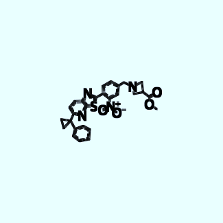 COC(=O)C1CN(Cc2ccc(-c3nc4ccc(C5(c6ccccc6)CC5)nc4s3)c([N+](=O)[O-])c2)C1